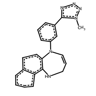 Cn1nnnc1-c1cccc(N2C=CCNc3c2ccc2ccccc32)c1